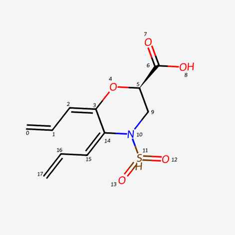 C=C/C=C1/O[C@@H](C(=O)O)CN([SH](=O)=O)/C1=C/C=C